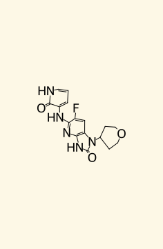 O=c1[nH]cccc1Nc1nc2[nH]c(=O)n(C3CCOCC3)c2cc1F